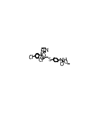 CCOC(=O)Nc1ccc(SCC2COC(Cn3ccnc3)(c3ccc(Cl)cc3Cl)O2)cc1